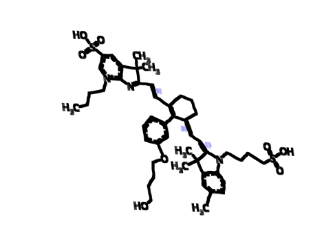 CCCC[n+]1cc(S(=O)(=O)O)cc2c1N=C(/C=C/C1=C(c3cccc(OCCCCO)c3)C(=C/C=C3/N(CCCCS(=O)(=O)O)c4ccc(C)cc4C3(C)C)/CCC1)C2(C)C